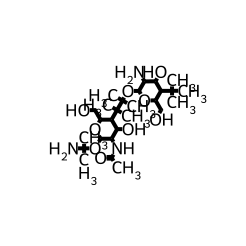 CC(=O)NC1C(OC(C)(C)N)OC(CO)C(C(C)(C)C(C)(C)OC2OC(CO)C(C(C)(C)C)C(O)C2N)C1O